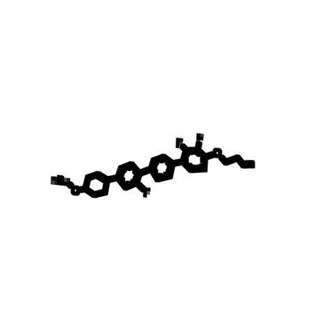 C=CCCOc1ccc(-c2ccc(-c3ccc(C4=CCC(OCCCC)CC4)cc3F)cc2)c(F)c1F